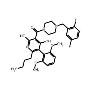 CCCCc1nc(O)c(C(=O)N2CCN(Cc3cc(F)ccc3F)CC2)c(O)c1-c1c(OC)cccc1OC